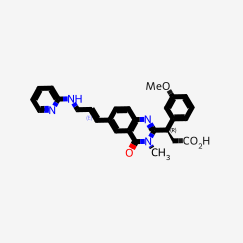 COc1cccc([C@@H](CC(=O)O)c2nc3ccc(/C=C/CNc4ccccn4)cc3c(=O)n2C)c1